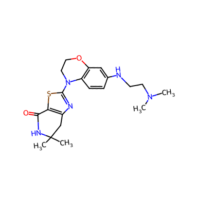 CN(C)CCNc1ccc2c(c1)OCCN2c1nc2c(s1)C(=O)NC(C)(C)C2